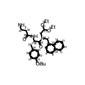 CCOC(CN(Cc1cccc2ccccc12)C(=O)[C@H](Cc1ccc(OCC(C)C)cc1)NC(=O)CCN)OCC